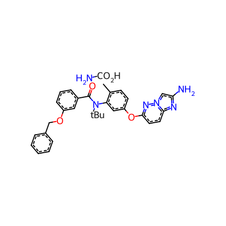 Cc1ccc(Oc2ccc3nc(N)cn3n2)cc1N(C(=O)c1cccc(OCc2ccccc2)c1)C(C)(C)C.NC(=O)O